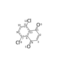 O=C1C=CC(=O)c2c(Cl)ccc(Cl)c21